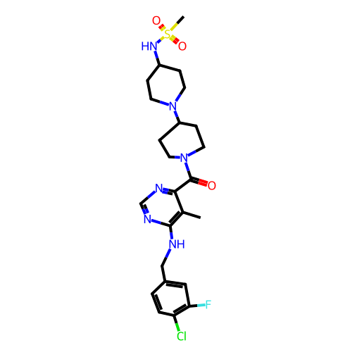 Cc1c(NCc2ccc(Cl)c(F)c2)ncnc1C(=O)N1CCC(N2CCC(NS(C)(=O)=O)CC2)CC1